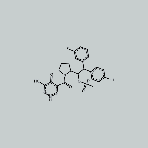 CS(=O)(=O)OC(C(c1ccc(Cl)cc1)c1cccc(F)c1)C1CCCN1C(=O)c1n[nH]cc(O)c1=O